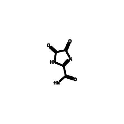 [NH]C(=O)C1=NC(=O)C(=O)N1